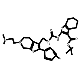 CN(C)CCN1CCc2c(sc(-c3ccc(F)cc3)c2CNC(=O)Nc2sc3c(c2C(=O)OC(C)(C)C)CCCC3)C1